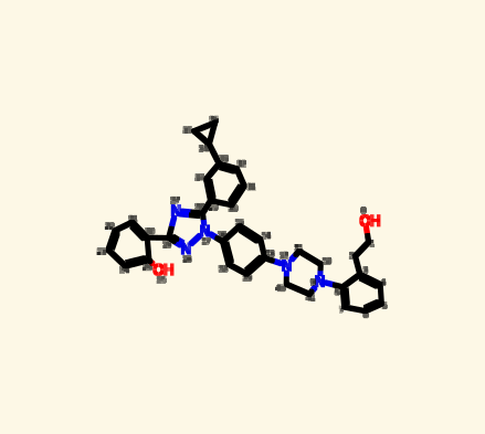 OCCc1ccccc1N1CCN(c2ccc(-n3nc(-c4ccccc4O)nc3-c3cccc(C4CC4)c3)cc2)CC1